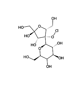 OC[C@H]1O[C@@H]([C@]2(OCl)[C@@H](CO)O[C@@](O)(CO)[C@H]2O)[C@H](O)[C@@H](O)C1O